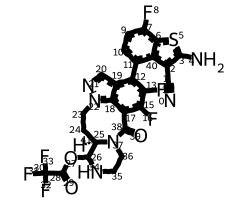 N#Cc1c(N)sc2c(F)ccc(-c3c(F)c(F)c4c5c3cnn5CC[C@@H]3C(OC(=O)C(F)(F)F)NCCN3C4=O)c12